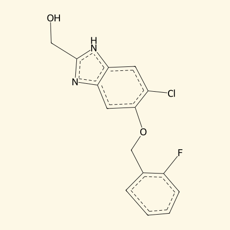 OCc1nc2cc(OCc3ccccc3F)c(Cl)cc2[nH]1